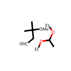 CCOC(C)OCC.COC(C)(C)CC=O